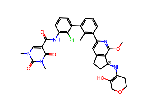 COc1nc(-c2cccc(-c3cccc(NC(=O)c4cn(C)c(=O)n(C)c4=O)c3Cl)c2C)cc2c1[C@@H](NC1=C(O)COCC1)CC2